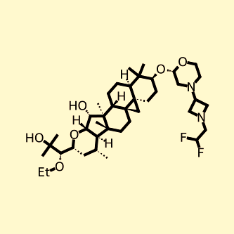 CCO[C@@H]([C@H]1C[C@@H](C)[C@H]2[C@H](O1)[C@H](O)[C@@]1(C)[C@@H]3CC[C@H]4C(C)(C)[C@@H](O[C@H]5CN(C6CN(CC(F)F)C6)CCO5)CC[C@@]45C[C@@]35CC[C@]21C)C(C)(C)O